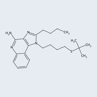 CCCCc1nc2c(N)nc3ccccc3c2n1CCCCSC(C)(C)C